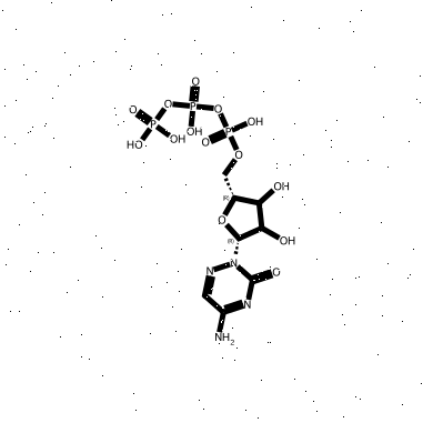 Nc1cnn([C@@H]2O[C@H](COP(=O)(O)OP(=O)(O)OP(=O)(O)O)C(O)C2O)c(=O)n1